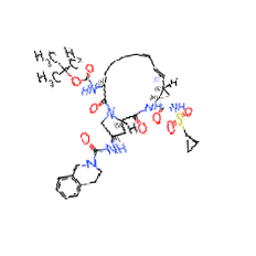 CC(C)(C)OC(=O)N[C@H]1CCCCC/C=C/[C@@H]2C[C@@]2(C(=O)NS(=O)(=O)C2CC2)NC(=O)[C@@H]2C[C@@H](NC(=O)N3CCc4ccccc4C3)CN2C1=O